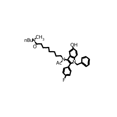 CCCCN(C)C(=O)CCCCCCCN(C(C)=O)c1c(-c2ccc(F)cc2)n(Cc2ccccc2)c2ccc(O)cc12